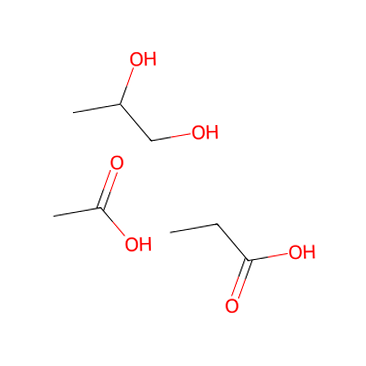 CC(=O)O.CC(O)CO.CCC(=O)O